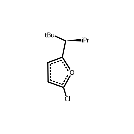 CC(C)[C@@H](c1ccc(Cl)o1)C(C)(C)C